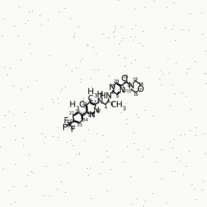 Cc1c(NC[C@@H](C)Nc2cnc(C(=O)N3CCOCC3)cn2)nnc(-c2ccc(C(F)(F)F)cc2)c1C